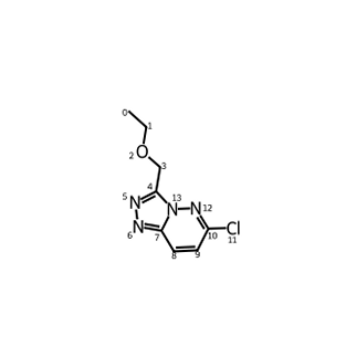 CCOCc1nnc2ccc(Cl)nn12